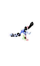 Nc1ncnc2c1c(-c1ccc(Oc3ccccc3)cc1)nn2C1CCC(N2CCN(CC3CCNCC3)CC2)CC1.O=C(O)C(F)(F)F